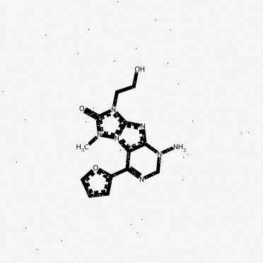 Cn1c(=O)n(CCO)c2nc3c(n21)C(c1ccco1)=NCN3N